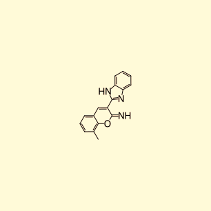 Cc1cccc2cc(-c3nc4ccccc4[nH]3)c(=N)oc12